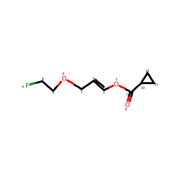 O=C(OC=CCOCCF)C1CC1